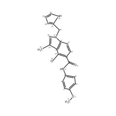 COc1ccc(NC(=O)c2cnc3c(c(C)nn3Cc3nnc[nH]3)c2Cl)cc1